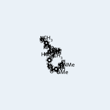 CNc1nc(Nc2ccc(C(=O)N3CCN(C[C@H]4CC[C@H](CSC(C)(C)[C@H](NC(=O)C5(F)CC5)C(=O)N5C[C@H](O)CC5C(=O)NCc5ccc(-c6scnc6C)cc5C)CC4)CC3)cc2OC)ncc1Cl